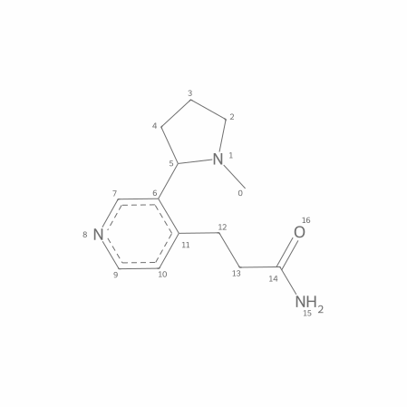 CN1CCCC1c1cnccc1CCC(N)=O